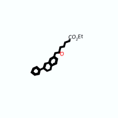 CCOC(=O)CCCCC(=O)Cc1ccc2c(c1)C=C(c1ccccc1)CC2